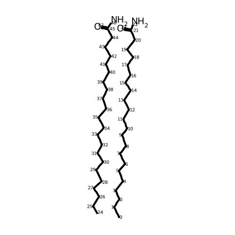 CCCCCCCCCCCCCCCCCCCCCC(N)=O.CCCCCCCCCCCCCCCCCCCCCC(N)=O